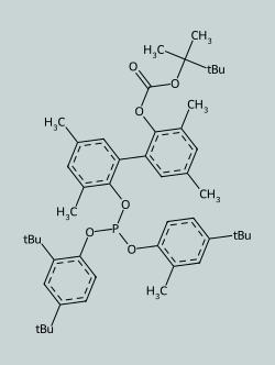 Cc1cc(C)c(OC(=O)OC(C)(C)C(C)(C)C)c(-c2cc(C)cc(C)c2OP(Oc2ccc(C(C)(C)C)cc2C)Oc2ccc(C(C)(C)C)cc2C(C)(C)C)c1